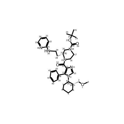 COC[C@@H]1CCCC[C@H]1n1cnc(C(=O)N2CCN(C(=O)OC(C)(C)C)C[C@H]2CCNc2ccccn2)c1-c1ccccc1